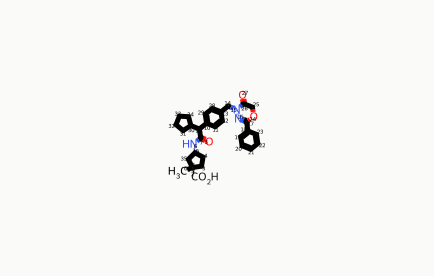 C[C@]1(C(=O)O)CC[C@@H](NC(=O)C(c2ccc(CN3N=C(c4ccccc4)OCC3=O)cc2)C2CCCC2)C1